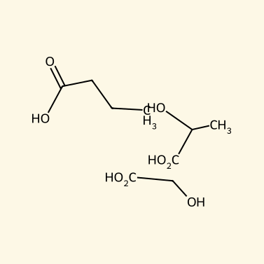 CC(O)C(=O)O.CCCC(=O)O.O=C(O)CO